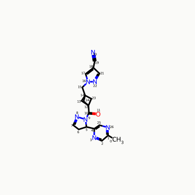 Cc1cnc(C2CC=NN2C(=O)C23CC(Cn4cc(C#N)cn4)(C2)C3)cn1